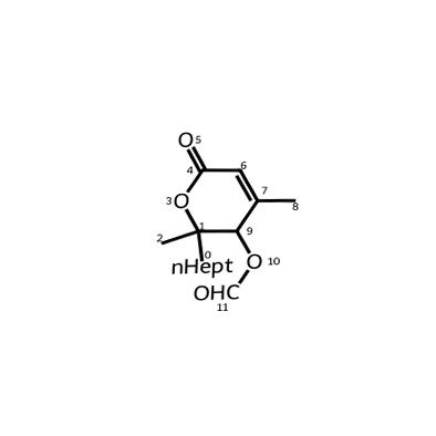 CCCCCCCC1(C)OC(=O)C=C(C)C1OC=O